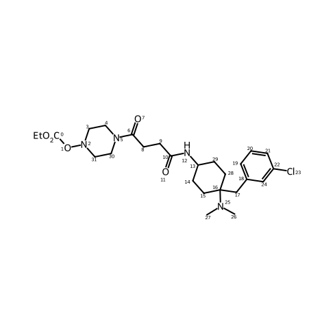 CCOC(=O)ON1CCN(C(=O)CCC(=O)NC2CCC(Cc3cccc(Cl)c3)(N(C)C)CC2)CC1